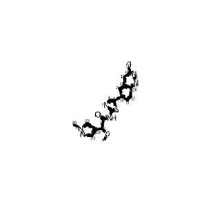 COC(C(=O)Nc1ncc(-c2ccc3nnc(Cl)cc3c2)s1)c1cnn(C)c1